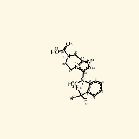 CN(c1ccccc1C(F)(F)F)c1nnc2n1CCN(C(=O)O)C2